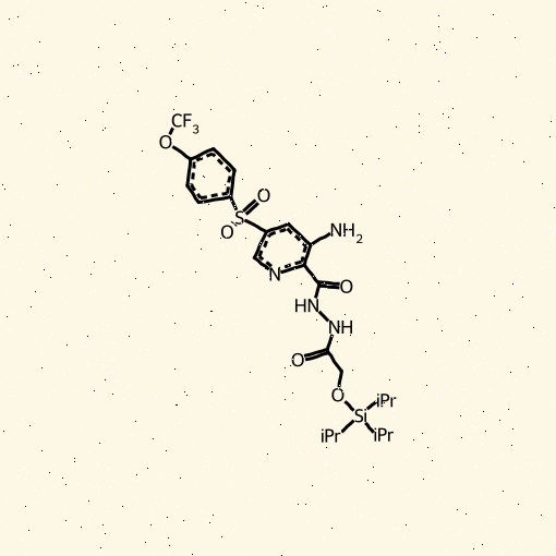 CC(C)[Si](OCC(=O)NNC(=O)c1ncc(S(=O)(=O)c2ccc(OC(F)(F)F)cc2)cc1N)(C(C)C)C(C)C